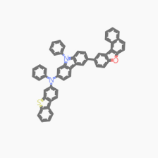 c1ccc(N(c2ccc3c(c2)sc2ccccc23)c2ccc3c4cc(-c5ccc6oc7ccc8ccccc8c7c6c5)ccc4n(-c4ccccc4)c3c2)cc1